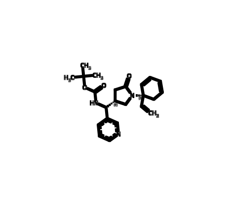 C=C[C@@]1(N2C[C@H](C(NC(=O)OC(C)(C)C)c3cccnc3)CC2=O)C=CC=CC1